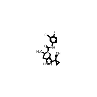 C#CC1(c2n[nH]c3c2CN(C(=O)Nc2ccc(F)c(Cl)c2)C(C)C3)CC1